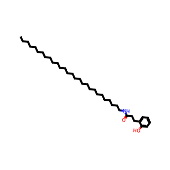 CCCCCCCCCCCCCCCCCCCCCCCCCCCCNC(=O)CCc1ccccc1O